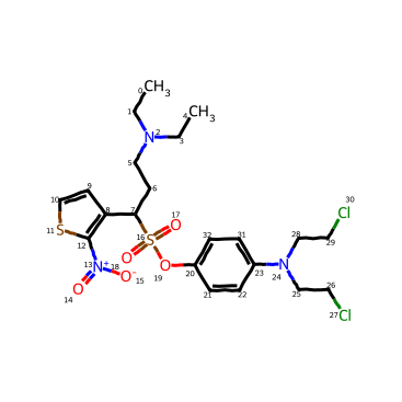 CCN(CC)CCC(c1ccsc1[N+](=O)[O-])S(=O)(=O)Oc1ccc(N(CCCl)CCCl)cc1